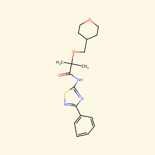 CC(C)(OCC1CCOCC1)C(=O)Nc1nc(-c2ccccc2)ns1